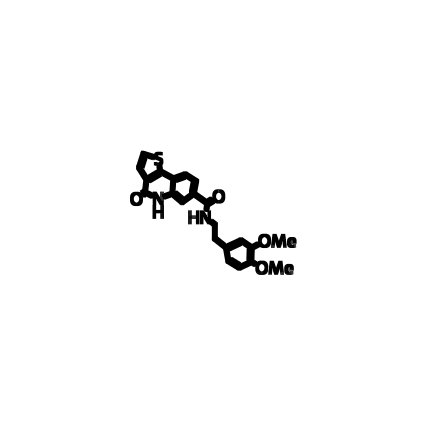 COc1ccc(CCNC(=O)c2ccc3c(c2)[nH]c(=O)c2ccsc23)cc1OC